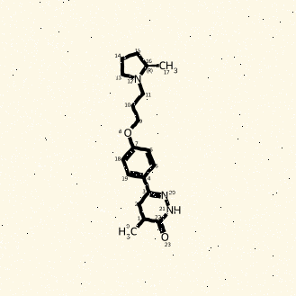 CC1CC(c2ccc(OCCCN3CCC[C@H]3C)cc2)=NNC1=O